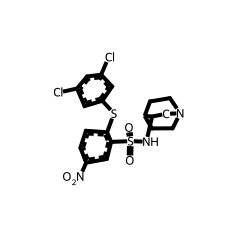 O=[N+]([O-])c1ccc(Sc2cc(Cl)cc(Cl)c2)c(S(=O)(=O)NC2CN3CCC2CC3)c1